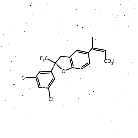 C/C(=C/C(=O)O)c1ccc2c(c1)CC(c1cc(Cl)cc(Cl)c1)(C(F)(F)F)O2